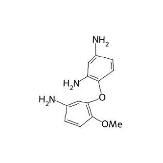 COc1ccc(N)cc1Oc1ccc(N)cc1N